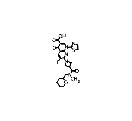 CN(CC1CCCCO1)C(=O)C1CN(c2nc3c(cc2F)c(=O)c(C(=O)O)cn3-c2nccs2)C1